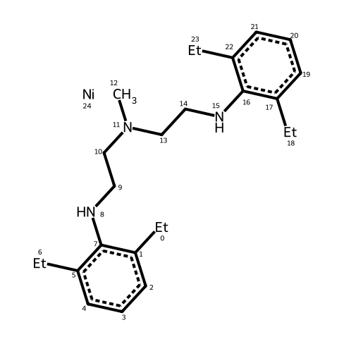 CCc1cccc(CC)c1NCCN(C)CCNc1c(CC)cccc1CC.[Ni]